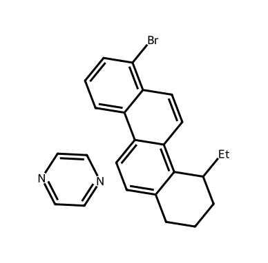 CCC1CCCc2ccc3c(ccc4c(Br)cccc43)c21.c1cnccn1